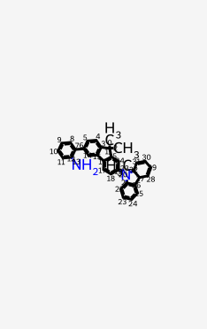 CC1(C)c2ccc(-c3ccccc3N)cc2-c2ccc(N3c4ccccc4C4C=CC=CC43C)cc21